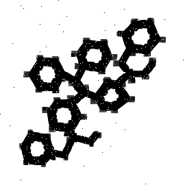 CCN(Cc1ccccc1)c1cccc(C(=C(c2ccccc2)c2ccccc2)c2cccc(N(CC)Cc3ccccc3)c2)c1